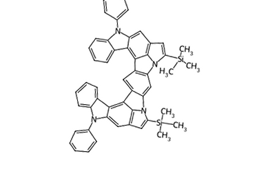 C[Si](C)(C)c1cc2cc3c(c4ccccc4n3-c3ccccc3)c3c4cc5c6c7c8ccccc8n(-c8ccccc8)c7cc7cc([Si](C)(C)C)n(c5cc4n1c23)c76